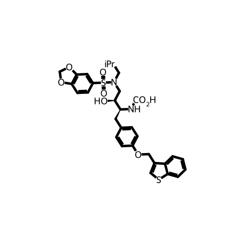 CC(C)CN(C[C@H](O)[C@H](Cc1ccc(OCc2csc3ccccc23)cc1)NC(=O)O)S(=O)(=O)c1ccc2c(c1)OCO2